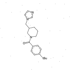 CC(C)(C)c1ccc(C(=O)N2CCCC(Cn3ccnc3)C2)cc1